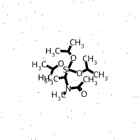 CC(=O)N(C)C(C)[Si](OC(C)C)(OC(C)C)OC(C)C